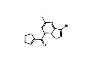 O=C(c1cccs1)c1nc(Cl)nc2c(Br)csc12